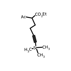 CCOC(=O)C(CCC#C[Si](C)(C)C)C(C)=O